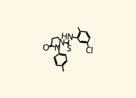 Cc1ccc(N2C(=O)CCN2C(=S)Nc2cc(Cl)ccc2C)cc1